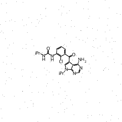 CC(C)NC(=O)Nc1cccc(C(=O)c2cn(C(C)C)c3ncnc(N)c23)c1Cl